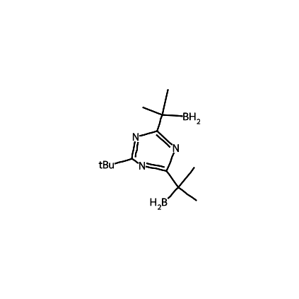 BC(C)(C)c1nc(C(B)(C)C)nc(C(C)(C)C)n1